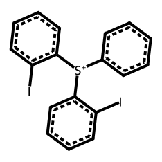 Ic1ccccc1[S+](c1ccccc1)c1ccccc1I